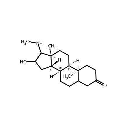 CNC1C(O)C[C@H]2[C@@H]3CCC4CC(=O)CC[C@]4(C)[C@@H]3CC[C@]12C